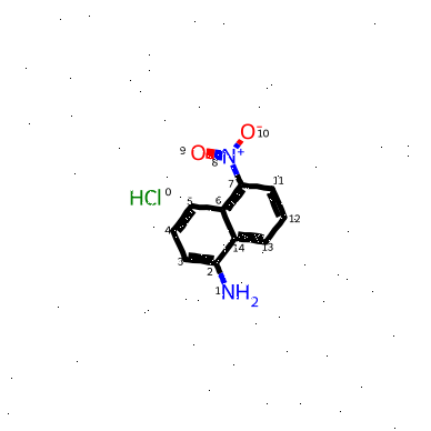 Cl.Nc1cccc2c([N+](=O)[O-])cccc12